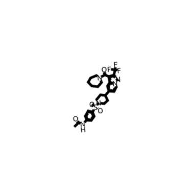 CC(=O)Nc1ccc(S(=O)(=O)N2CCC(c3ccn4nc(C(F)(F)F)c(C(=O)N5CCCCCC5)c4c3)CC2)cc1